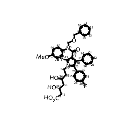 COc1ccc(N(COCc2ccccc2)C(=O)c2c(-c3ccccc3)c(-c3ccc(F)cc3)n(CCC(O)C[C@@H](O)CC(=O)O)c2C(C)C)cc1